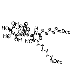 CCCCCCCCCCCCCCCCC[C@@H](O)[C@H](COP(=O)(O)OC1C(O)C(O)C(O)[C@@H](O)C1O)NC(=O)CCCCCCCCCCCCCCC